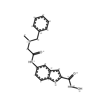 CN(CC(=O)Nc1ccc2sc(C(=O)NO)cc2c1)Cc1ccccc1